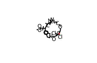 COC(=O)C(C)(C)C1c2ccc3c(c2)CN(CC3)C(=O)c2c(Cl)cc(cc2Cl)COCCCn2nnc3c(C)c1ccc32